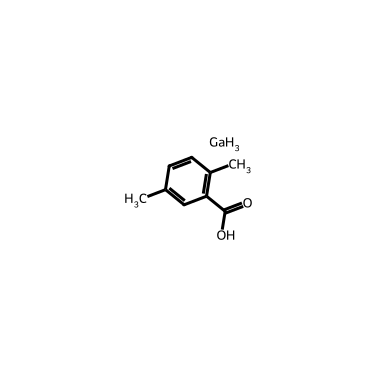 Cc1ccc(C)c(C(=O)O)c1.[GaH3]